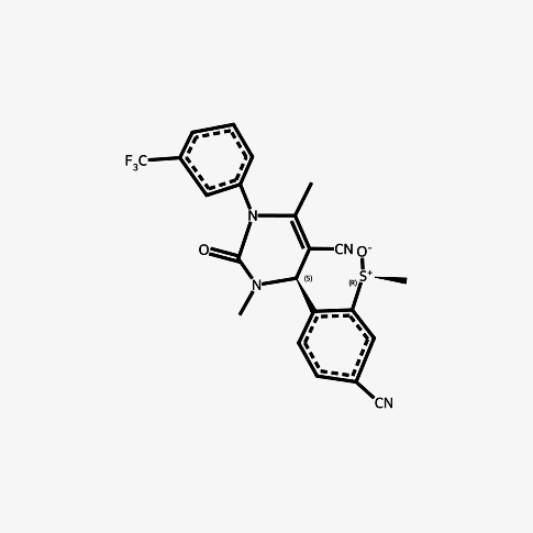 CC1=C(C#N)[C@@H](c2ccc(C#N)cc2[S@+](C)[O-])N(C)C(=O)N1c1cccc(C(F)(F)F)c1